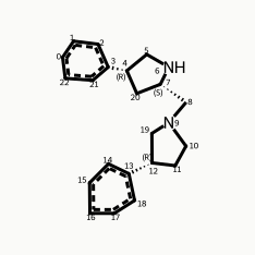 c1ccc([C@@H]2CN[C@H](CN3CC[C@H](c4ccccc4)C3)C2)cc1